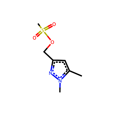 Cc1cc(COS(C)(=O)=O)nn1C